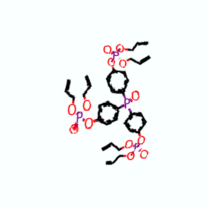 C=CCOP(=O)(OCC=C)Oc1ccc(P(=O)(c2ccc(OP(=O)(OCC=C)OCC=C)cc2)c2ccc(OP(=O)(OCC=C)OCC=C)cc2)cc1